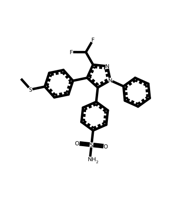 CSc1ccc(-c2c(C(F)F)nn(-c3ccccc3)c2-c2ccc(S(N)(=O)=O)cc2)cc1